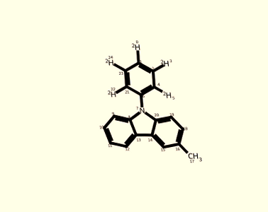 [2H]c1c([2H])c([2H])c(-n2c3ccccc3c3cc(C)ccc32)c([2H])c1[2H]